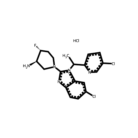 CC(c1ccc(Cl)cn1)n1c(N2CC[C@@H](F)[C@H](N)C2)nc2ccc(Cl)cc21.Cl